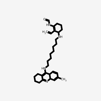 C=CC1=C(NC=O)CCCC1NCCCCCCCCNC1=C2CCCCC2=NC2C=C(C)C=CC12